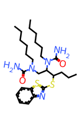 CCCCCCN(CC(C(CCC)Sc1nc2ccccc2s1)N(CCCCCC)C(N)=O)C(N)=O